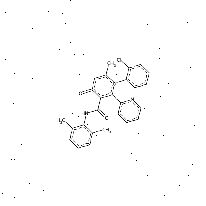 Cc1cccc(C)c1NC(=O)c1c(-c2ccccn2)n(-c2ccccc2Cl)c(C)cc1=O